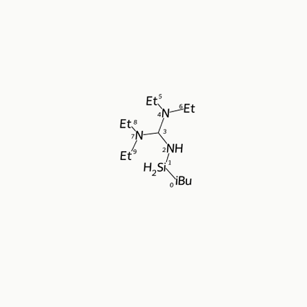 CCC(C)[SiH2]NC(N(CC)CC)N(CC)CC